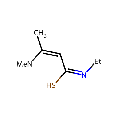 CC/N=C(S)\C=C(\C)NC